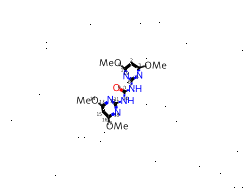 COc1cc(OC)nc(NC(=O)Nc2nc(OC)cc(OC)n2)n1